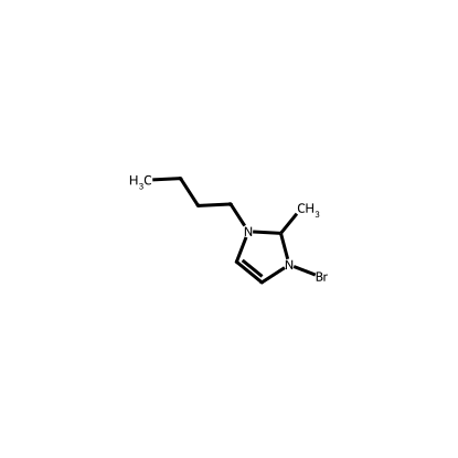 CCCCN1C=CN(Br)C1C